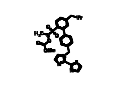 COC(=O)ON(C)S(=O)(=O)c1ccc(CC(C)C)cc1-c1ccc(Cn2ccnc2-c2nccs2)cc1